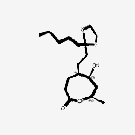 CCCCCC1(CC[C@@H]2CCC(=O)O[C@H](C)C[C@@H]2O)OCCO1